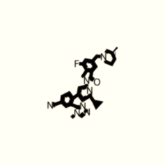 C[C@H]1CCCN(Cc2cc(F)c3c(c2)C(=O)N(c2cc(-c4ccc(C#N)cc4-c4nncn4C)cc(C4CC4)n2)C3)C1